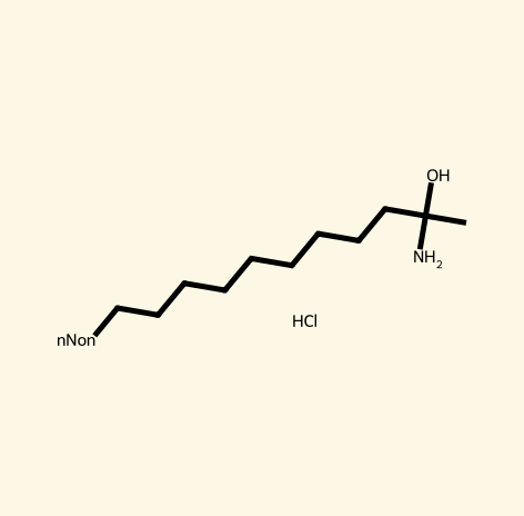 CCCCCCCCCCCCCCCCCCC(C)(N)O.Cl